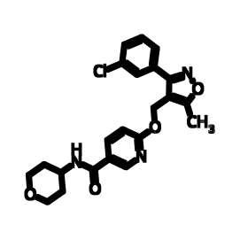 Cc1onc(-c2cccc(Cl)c2)c1COc1ccc(C(=O)NC2CCOCC2)cn1